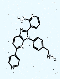 NCc1ccc(-n2c(-c3cccnc3N)nc3ccc(-c4ccncc4)nc32)cc1